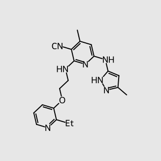 [C-]#[N+]c1c(C)cc(Nc2cc(C)n[nH]2)nc1NCCOc1cccnc1CC